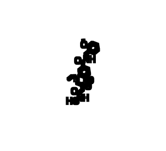 CCN1CC(CC(=O)NO)S(=O)(=O)c2ccc(C(=O)NCc3ccccc3OC)cc21